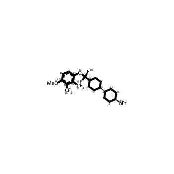 CCC[C@H]1CC[C@H](C2CCC(C(F)(F)Oc3ccc(OC)c(C(F)(F)F)c3C(F)(F)F)CC2)CC1